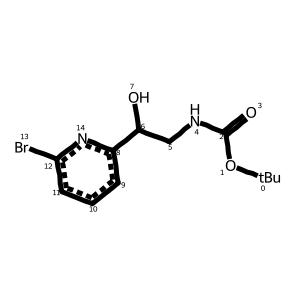 CC(C)(C)OC(=O)NCC(O)c1cccc(Br)n1